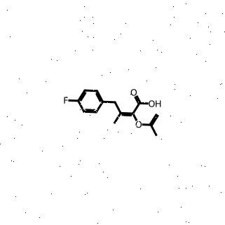 C=C(C)O/C(C(=O)O)=C(\C)Cc1ccc(F)cc1